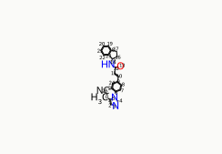 Cc1cncn1-c1ccc(/C=C/C(=O)N[C@H]2CCc3ccccc32)cc1C#N